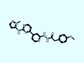 CSc1ccc(CC(=O)NNc2cc(-c3ccnc(Nc4ccnn4C)n3)ccn2)cc1